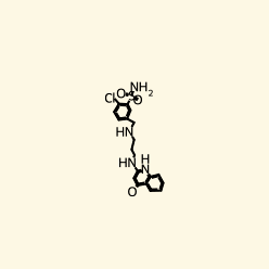 NS(=O)(=O)c1cc(CNCCCNc2cc(=O)c3ccccc3[nH]2)ccc1Cl